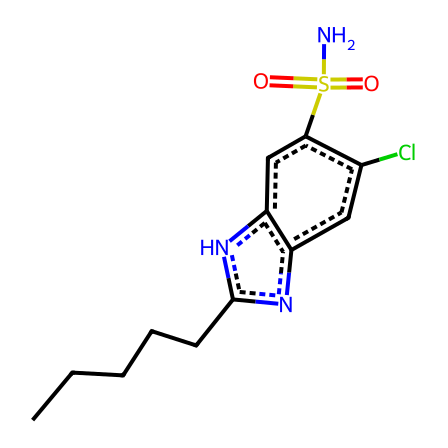 CCCCCc1nc2cc(Cl)c(S(N)(=O)=O)cc2[nH]1